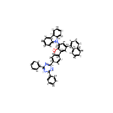 c1ccc(-c2nc(-c3ccccc3)nc(-c3ccc4c(c3)oc3c(-n5c6ccccc6c6ccccc65)cc(-c5cccc6ccccc56)cc34)n2)cc1